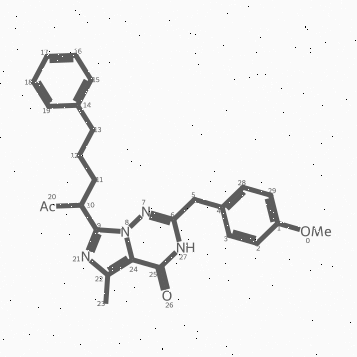 COc1ccc(Cc2nn3c(C(CCCc4ccccc4)C(C)=O)nc(C)c3c(=O)[nH]2)cc1